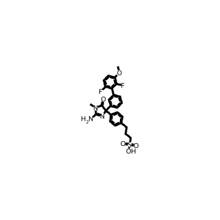 COc1ccc(F)c(-c2cccc(C3(c4ccc(CCCS(=O)(=O)O)cc4)N=C(N)N(C)C3=O)c2)c1F